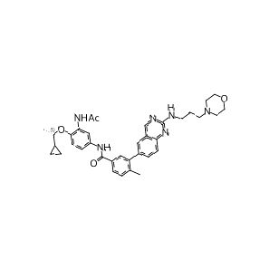 CC(=O)Nc1cc(NC(=O)c2ccc(C)c(-c3ccc4nc(NCCCN5CCOCC5)ncc4c3)c2)ccc1O[C@@H](C)C1CC1